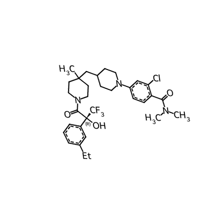 CCc1cccc([C@@](O)(C(=O)N2CCC(C)(CC3CCN(c4ccc(C(=O)N(C)C)c(Cl)c4)CC3)CC2)C(F)(F)F)c1